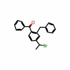 CC(Br)c1ccc(C(=O)c2ccccc2)c(Cc2ccccc2)c1